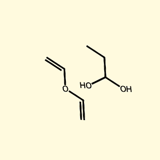 C=COC=C.CCC(O)O